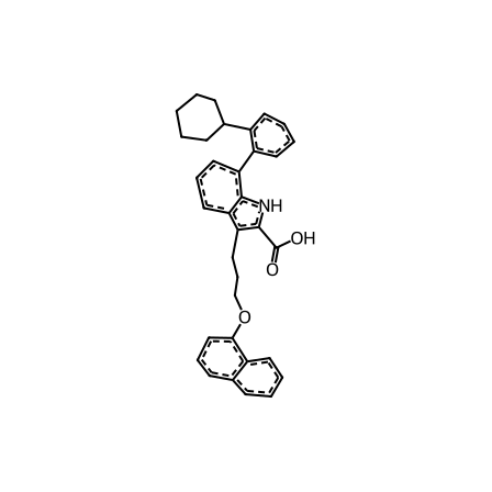 O=C(O)c1[nH]c2c(-c3ccccc3C3CCCCC3)cccc2c1CCCOc1cccc2ccccc12